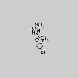 CC(Oc1ccc(Br)cc1F)c1nsc(N)n1